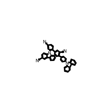 N#Cc1ccc(-c2ccc(-c3ccc(-n4c5ccccc5c5ccccc54)cc3)c(C#N)c2)c(-n2c3ccccc3c3cc(C#N)ccc32)c1